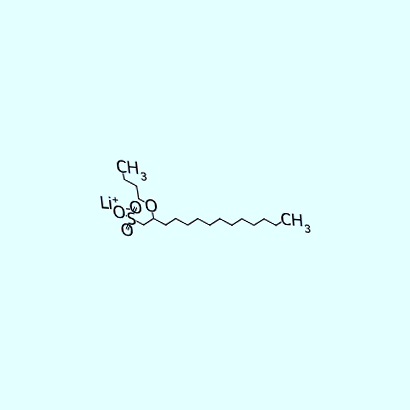 CCCCCCCCCCCCC(CS(=O)(=O)[O-])OCCCC.[Li+]